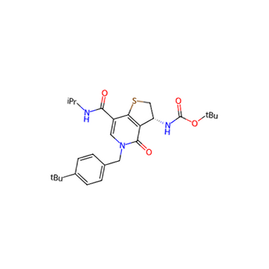 CC(C)NC(=O)c1cn(Cc2ccc(C(C)(C)C)cc2)c(=O)c2c1SC[C@@H]2NC(=O)OC(C)(C)C